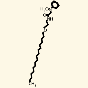 CCCCCCCCCCCCCCCCCCOCCCNC(=O)CN(C)c1ccccc1